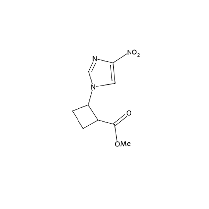 COC(=O)C1CCC1n1cnc([N+](=O)[O-])c1